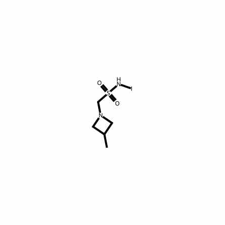 CC1CN(CS(=O)(=O)NI)C1